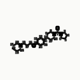 O=C(N1CCCC1)N1CCC(c2ccc(OCCCN3CCCCC3)cc2)CC1